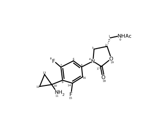 CC(=O)NC[C@H]1CN(c2cc(F)c(C3(N)CC3)c(F)c2)C(=O)O1